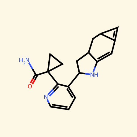 NC(=O)C1(c2ncccc2C2CC3CC4C=C4C=C3N2)CC1